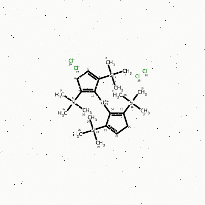 C[Si](C)(C)C1=CCC([Si](C)(C)C)=[C]1[U+4][C]1=C([Si](C)(C)C)CC=C1[Si](C)(C)C.[Cl-].[Cl-].[Cl-].[Cl-]